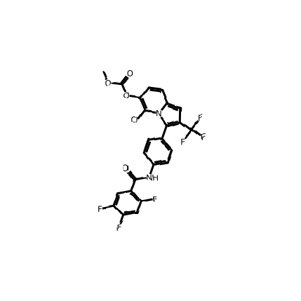 COC(=O)Oc1ccc2cc(C(F)(F)F)c(-c3ccc(NC(=O)c4cc(F)c(F)cc4F)cc3)n2c1Cl